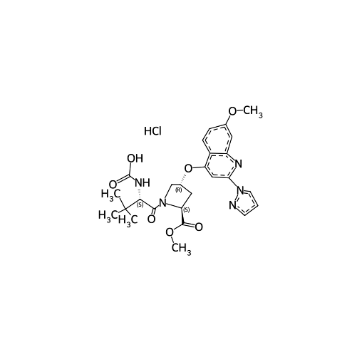 COC(=O)[C@@H]1C[C@@H](Oc2cc(-n3cccn3)nc3cc(OC)ccc23)CN1C(=O)[C@@H](NC(=O)O)C(C)(C)C.Cl